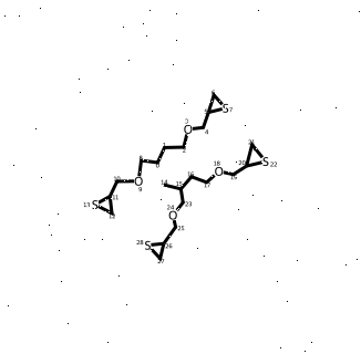 C(CCOCC1CS1)COCC1CS1.CC(CCOCC1CS1)COCC1CS1